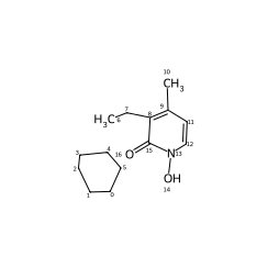 C1CCCCC1.CCc1c(C)ccn(O)c1=O